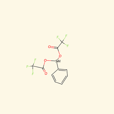 O=C(O[SiH](OC(=O)C(F)(F)F)c1ccccc1)C(F)(F)F